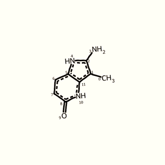 Cc1c(N)[nH]c2ccc(=O)[nH]c12